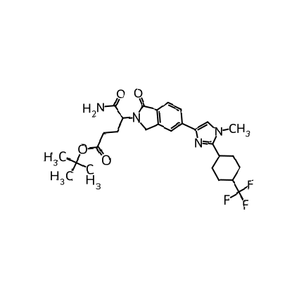 Cn1cc(-c2ccc3c(c2)CN(C(CCC(=O)OC(C)(C)C)C(N)=O)C3=O)nc1C1CCC(C(F)(F)F)CC1